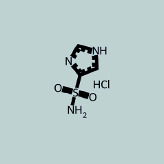 Cl.NS(=O)(=O)c1c[nH]cn1